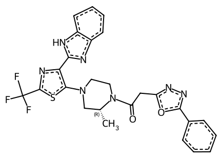 C[C@@H]1CN(c2sc(C(F)(F)F)nc2-c2nc3ccccc3[nH]2)CCN1C(=O)Cc1nnc(-c2ccccc2)o1